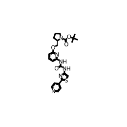 CC(C)(C)OC(=O)N1CCC[C@@H]1COc1cccc(NC(=O)Nc2csc(-c3ccncc3)n2)n1